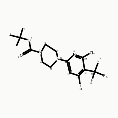 CC(C)(C)OC(=O)N1CCN(c2cc(I)c(C(F)(F)F)c(Cl)n2)CC1